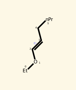 [CH2]CO/C=C/CCCC